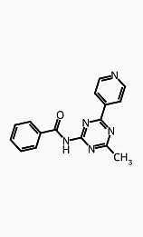 Cc1nc(NC(=O)c2ccccc2)nc(-c2ccncc2)n1